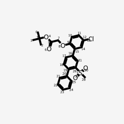 CC(C)(C)OC(=O)COc1ccc(Cl)cc1-c1ccc(-c2ccccc2)c(S(C)(=O)=O)c1